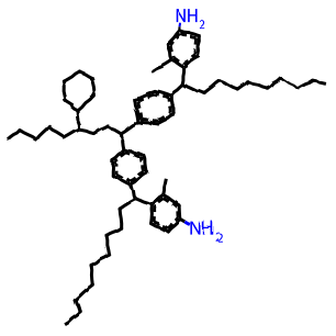 CCCCCCCCCC(c1ccc(C(CCC(CCCCC)C2CCCCC2)c2ccc(C(CCCCCCCCC)c3ccc(N)cc3C)cc2)cc1)c1ccc(N)cc1C